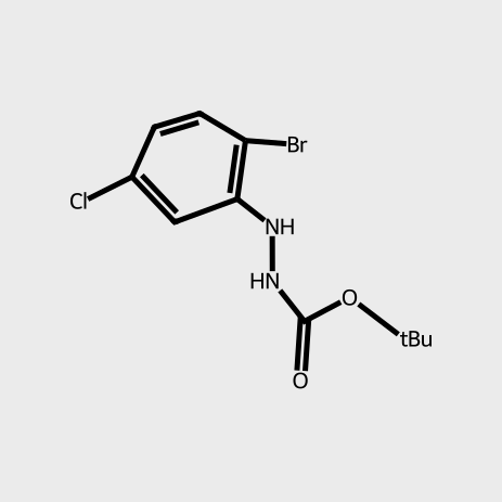 CC(C)(C)OC(=O)NNc1cc(Cl)ccc1Br